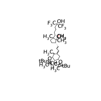 C=C1/C(=C\C=C\[C@@H]2CC[C@](C)([C@@H](C)CCCC(O)(C(F)(F)F)C(F)(F)F)C2(C)C)C[C@@H](O[Si](C)(C)C(C)(C)C)C[C@@H]1O[Si](C)(C)C(C)(C)C